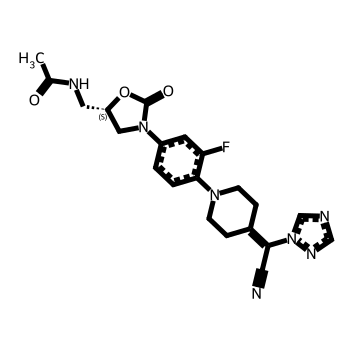 CC(=O)NC[C@H]1CN(c2ccc(N3CCC(=C(C#N)n4cncn4)CC3)c(F)c2)C(=O)O1